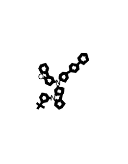 CC(C)(C)c1cccc(-n2c3ccccc3c3ccc(N(c4ccc(-c5ccc(-c6ccccc6)cc5)cc4)c4ccc5oc6ccccc6c5c4)cc32)c1